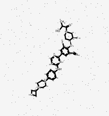 CC(O)C(=O)N1CC[C@H](Oc2c(F)cc(-c3ncnc(Nc4ccc(N5CCN(C6COC6)CC5)cc4)n3)cc2C#N)[C@H](F)C1